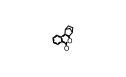 O=c1oc2c(c3ccccc13)C1CCC2C1